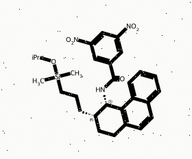 CC(C)O[Si](C)(C)CCC[C@H]1CCc2ccc3ccccc3c2[C@H]1NC(=O)c1cc([N+](=O)[O-])cc([N+](=O)[O-])c1